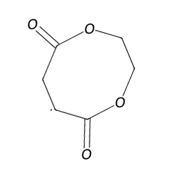 O=C1[CH]CC(=O)OCCO1